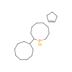 C1=CCCC1.C1CCCCC(C2CCCCCCCP2)CCC1